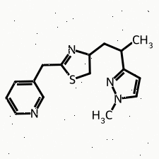 CC(CC1CSC(Cc2cccnc2)=N1)c1ccn(C)n1